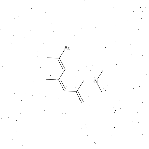 C=C(/C=C(C)\C=C(/C)C(C)=O)CN(C)C